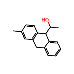 Cc1ccc2c(c1)Cc1ccccc1C2C(C)O